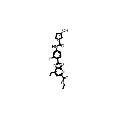 CCOC(=O)c1cc(CC)c2nc(-c3ccc(NC(=O)N4CC[C@@H](O)C4)cc3F)oc2n1